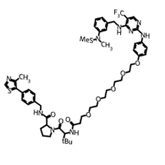 CSN(C)c1cccc(CNc2nc(Nc3ccc(OCCOCCOCCOCCOCCC(=O)NC(C(=O)N4CCCC4C(=O)NCc4ccc(-c5scnc5C)cc4)C(C)(C)C)cc3)ncc2C(F)(F)F)c1